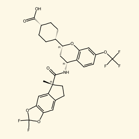 C[C@@]1(C(=O)N[C@@H]2C[C@H]([C@H]3CC[C@@H](C(=O)O)CC3)Oc3cc(OC(F)(F)F)ccc32)CCc2cc3c(cc21)OC(F)(F)O3